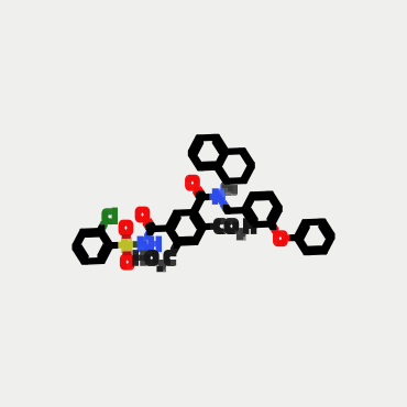 O=C(O)c1cc(C(=O)O)c(C(=O)N(Cc2cccc(Oc3ccccc3)c2)[C@H]2CCCc3ccccc32)cc1C(=O)NS(=O)(=O)c1ccccc1Cl